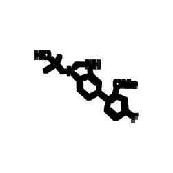 COc1cc(F)ccc1C1C=C2NCN(CC(C)(C)O)C2=CC1